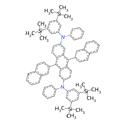 C[Si](C)(C)c1cc(N(c2ccccc2)c2ccc3c(-c4ccc5ccccc5c4)c4cc(N(c5ccccc5)c5cc([Si](C)(C)C)cc([Si](C)(C)C)c5)ccc4c(-c4ccc5ccccc5c4)c3c2)cc([Si](C)(C)C)c1